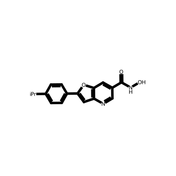 CC(C)c1ccc(-c2cc3ncc(C(=O)NO)cc3o2)cc1